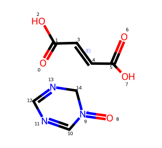 O=C(O)/C=C/C(=O)O.O=[N+]1C=NC=NC1